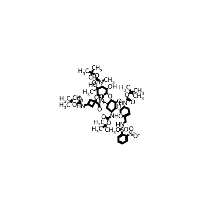 CN(C(=O)OC(C)(C)C)[C@@H]1[C@@H](O)[C@@H](O[C@H]2[C@H](NC(=O)C3(O)CC(NC(=O)OC(C)(C)C)C3)C[C@H](NC(=O)OC(C)(C)C)C([C@H]3OC(CNS(=O)(=O)c4ccccc4[N+](=O)[O-])=CC[C@H]3NC(=O)OC(C)(C)C)[C@@H]2O)OC[C@]1(C)O